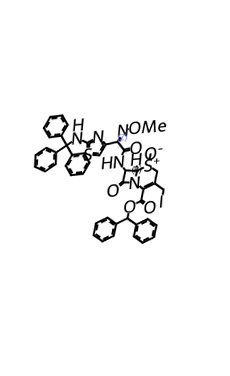 CO/N=C(\C(=O)NC1C(=O)N2C(C(=O)OC(c3ccccc3)c3ccccc3)=C(CI)C[S+]([O-])[C@H]12)c1csc(NC(c2ccccc2)(c2ccccc2)c2ccccc2)n1